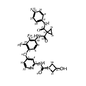 O=C(Nc1cc(Oc2ccc(NC(=O)C3(C(=O)Nc4ccc(F)cc4)CC3)c(F)c2F)ccn1)N1CC(O)C1